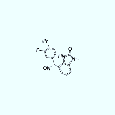 CC(C)c1ccc([C@@H](N=O)c2cccc3c2[nH]c(=O)n3C)cc1F